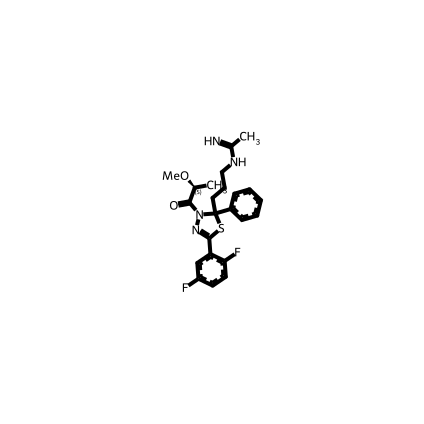 CO[C@@H](C)C(=O)N1N=C(c2cc(F)ccc2F)SC1(CCCNC(C)=N)c1ccccc1